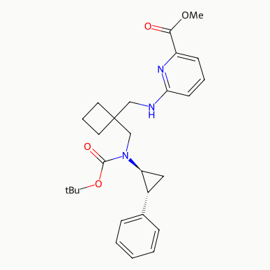 COC(=O)c1cccc(NCC2(CN(C(=O)OC(C)(C)C)[C@H]3C[C@@H]3c3ccccc3)CCC2)n1